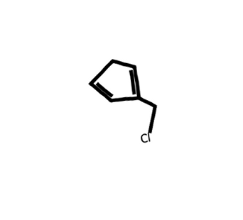 ClCC1=CCC=C1